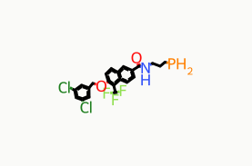 O=C(NCCCP)c1ccc2c(C(F)(F)F)c(OCc3cc(Cl)cc(Cl)c3)ccc2c1